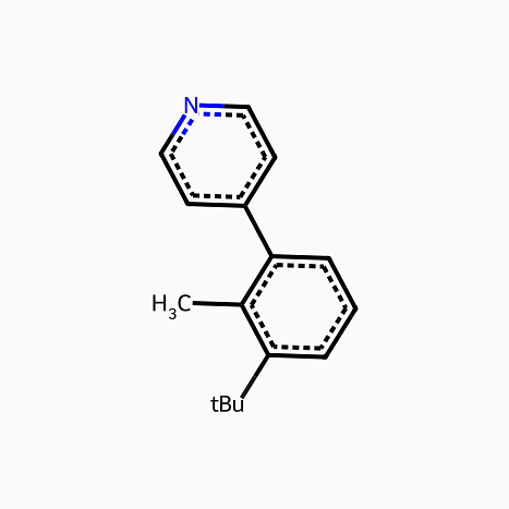 Cc1c(-c2ccncc2)cccc1C(C)(C)C